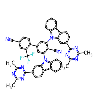 Cc1nc(C)nc(-c2ccc3c4ccccc4n(-c4cc(-c5ccc(C#N)cc5C(F)(F)F)cc(-n5c6ccccc6c6ccc(-c7nc(C)nc(C)n7)cc65)c4C#N)c3c2)n1